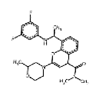 CC1CN(C2=CC(C(=O)N(C)C)c3cccc(C(C)Nc4cc(F)cc(F)c4)c3O2)CCO1